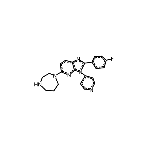 Fc1ccc(-c2nc3ccc(N4CCCNCC4)nc3n2-c2ccncc2)cc1